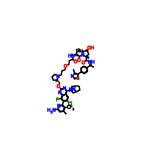 Cc1cc(N)nc(-c2c(Cl)cc3c(N4CC5CCC(C4)N5)nc(OC[C@@H]4CCCN4CCCOCCC(=O)N[C@H](C(=O)N4C[C@H](O)C[C@H]4C(=O)N[C@@H](C)c4ccc(-c5scnc5C)cc4)C(C)(C)C)nc3c2F)c1C(F)(F)F